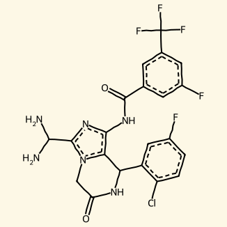 NC(N)c1nc(NC(=O)c2cc(F)cc(C(F)(F)F)c2)c2n1CC(=O)NC2c1cc(F)ccc1Cl